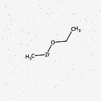 CC[O][Zr][CH3]